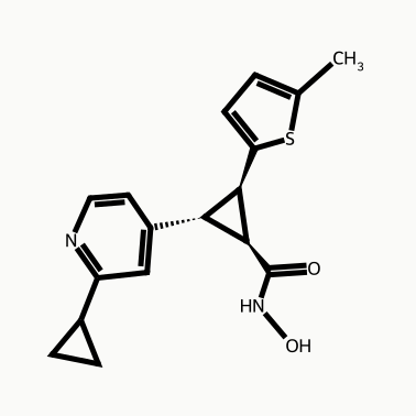 Cc1ccc([C@H]2[C@@H](C(=O)NO)[C@@H]2c2ccnc(C3CC3)c2)s1